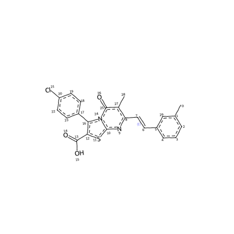 Cc1cccc(/C=C/c2nc3sc(C(=O)O)c(-c4ccc(Cl)cc4)n3c(=O)c2C)c1